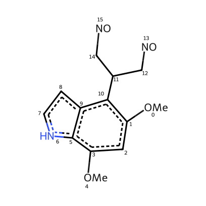 COc1cc(OC)c2[nH]ccc2c1C(CN=O)CN=O